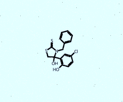 Oc1ccc(Cl)cc1C1(O)CSC(=S)N1Cc1ccccc1